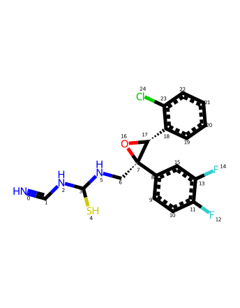 N=CNC(S)NC[C@]1(c2ccc(F)c(F)c2)O[C@@H]1c1ccccc1Cl